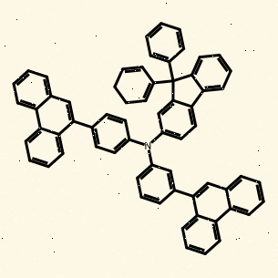 C1=CC(C2(c3ccccc3)c3ccccc3-c3ccc(N(c4ccc(-c5cc6ccccc6c6ccccc56)cc4)c4cccc(-c5cc6ccccc6c6ccccc56)c4)cc32)=CCC1